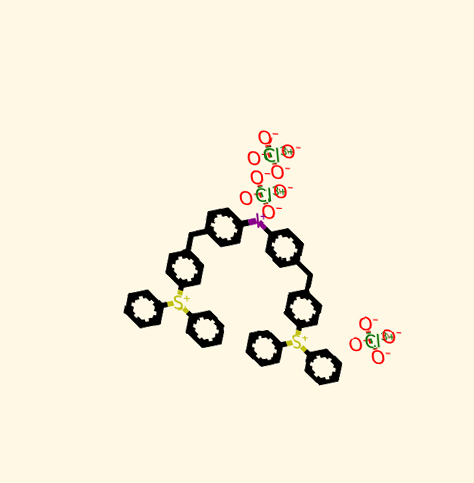 [O-][Cl+3]([O-])([O-])[O-].[O-][Cl+3]([O-])([O-])[O-].[O-][Cl+3]([O-])([O-])[O-].c1ccc([S+](c2ccccc2)c2ccc(Cc3ccc([I+]c4ccc(Cc5ccc([S+](c6ccccc6)c6ccccc6)cc5)cc4)cc3)cc2)cc1